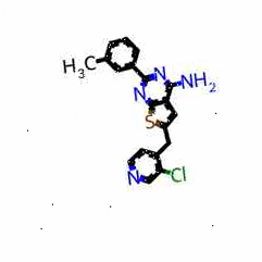 Cc1cccc(-c2nc(N)c3cc(Cc4ccncc4Cl)sc3n2)c1